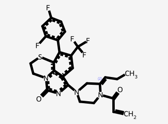 C=CC(=O)N1CCN(c2nc(=O)n3c4c(c(-c5ccc(F)cc5F)c(C(F)(F)F)cc24)SCC3)C/C1=C/CC